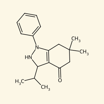 CC(C)C1NN(c2ccccc2)C2=C1C(=O)CC(C)(C)C2